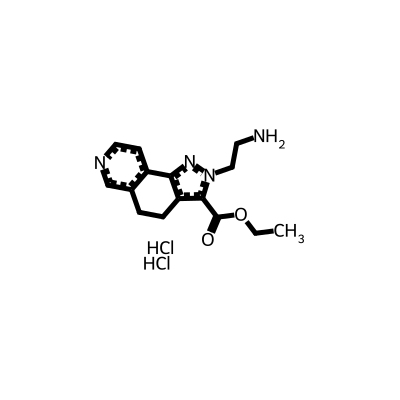 CCOC(=O)c1c2c(nn1CCN)-c1ccncc1CC2.Cl.Cl